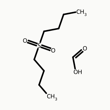 CCCCS(=O)(=O)CCCC.O=CO